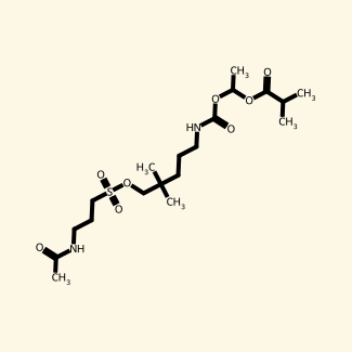 CC(=O)NCCCS(=O)(=O)OCC(C)(C)CCCNC(=O)OC(C)OC(=O)C(C)C